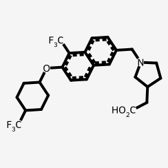 O=C(O)CC1CCN(Cc2ccc3c(C(F)(F)F)c(OC4CCC(C(F)(F)F)CC4)ccc3c2)C1